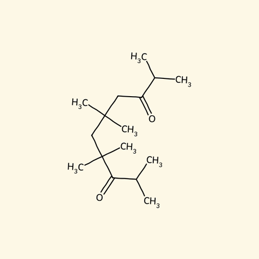 CC(C)C(=O)CC(C)(C)CC(C)(C)C(=O)C(C)C